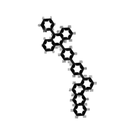 c1ccc(-c2c3ccccc3c(-c3ccc(-c4ccc(-c5cccc6c5ccc5cc7ccccc7cc56)cc4)cc3)c3ccccc23)nc1